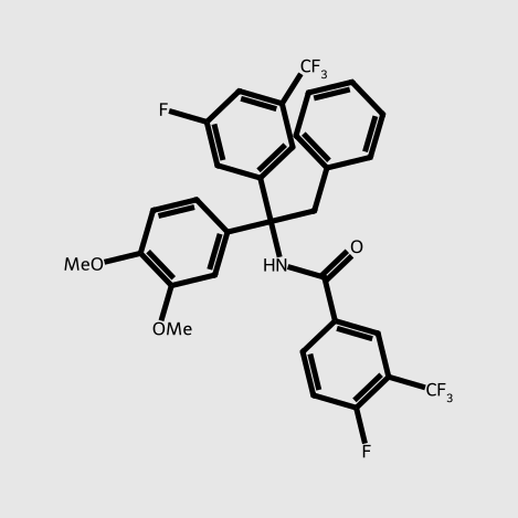 COc1ccc(C(Cc2ccccc2)(NC(=O)c2ccc(F)c(C(F)(F)F)c2)c2cc(F)cc(C(F)(F)F)c2)cc1OC